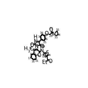 CCC(=O)c1csc(NC(=O)[C@H]([C@@H](C)c2ccccc2)N2C(=O)NC(c3ccc(OCC(=O)N4CCC4)cc3)C2=O)n1